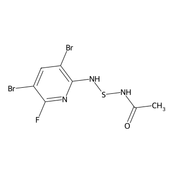 CC(=O)NSNc1nc(F)c(Br)cc1Br